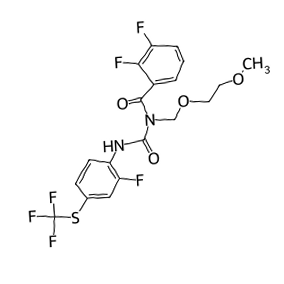 COCCOCN(C(=O)Nc1ccc(SC(F)(F)F)cc1F)C(=O)c1cccc(F)c1F